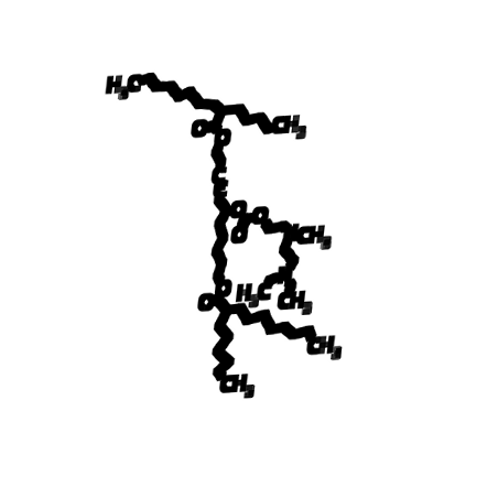 CCCCCCCCC(CCCCC)C(=O)OCCCCCC(CCCCCOC(=O)C(CCCCCC)CCCCCCCC)OC(=O)OCCN(C)CCN(CC)CC